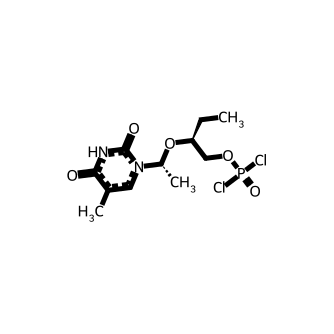 CC[C@@H](COP(=O)(Cl)Cl)O[C@H](C)n1cc(C)c(=O)[nH]c1=O